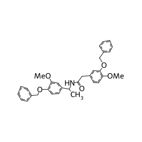 COc1cc(C(C)NC(=O)Cc2ccc(OC)c(OCc3ccccc3)c2)ccc1OCc1ccccc1